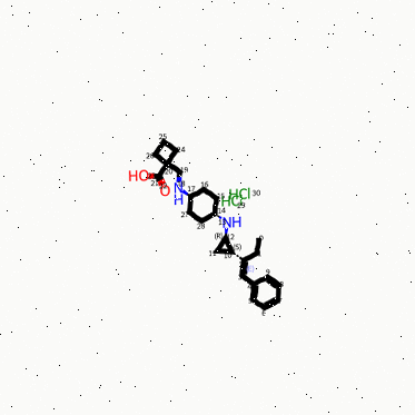 CC/C(=C\c1ccccc1)[C@@H]1C[C@H]1N[C@H]1CC[C@H](NCC2(C(=O)O)CCC2)CC1.Cl.Cl